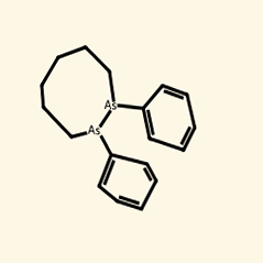 c1ccc([As]2CCCCCC[As]2c2ccccc2)cc1